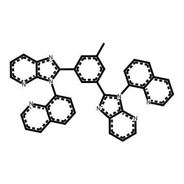 Cc1cc(-c2nc3cccnc3n2-c2cccc3cccnc23)cc(-c2nc3cccnc3n2-c2cccc3cccnc23)c1